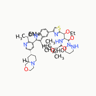 CCO[C@H](c1nc(-c2ccc3c(c2)c(CC(C)(C)COC=O)c(-c2cc([C@@H]4CCN5CCOC[C@@H]5C4)cnc2[C@H](C)OC)n3CC)cs1)[C@H](NC(=O)[C@H]1[C@H](C)[C@@H]1C)C(=O)N1CCCCN1